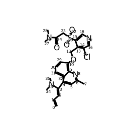 C=C/C=C(/c1cc(C)nc2c(OCc3c(Cl)cncc3S(=O)(=O)CC(=O)N(C)C)cccc12)N(C)C